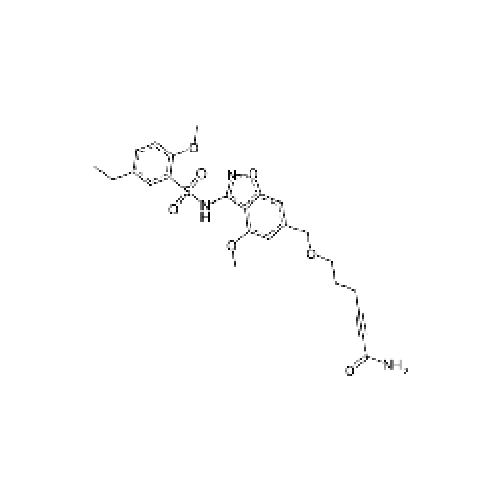 CCc1ccc(OC)c(S(=O)(=O)Nc2noc3cc(COCCCC#CC(N)=O)cc(OC)c23)c1